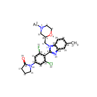 CC(=O)N1CCO[C@@H](Cn2c(-c3c(F)cc(N4CCCC4=O)cc3Cl)nc3cc(C)ccc32)C1